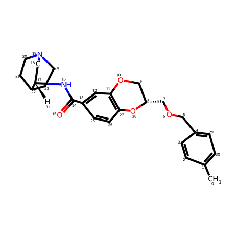 Cc1ccc(COC[C@H]2COc3cc(C(=O)N[C@H]4CN5CCC4CC5)ccc3O2)cc1